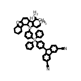 C=C(C)C1=C(/C=C\C)N(c2cccc([Si](c3ccccc3)(c3ccccc3)c3ccc(C4c5ccc(C#N)cc5-c5cc(C#N)ccc54)cc3)c2)C2c3c(oc4c3C=CCC4)C=C[C@H]12